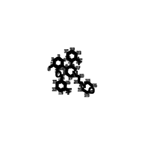 Cc1cccc([C@@H]2[C@@H](C(=O)c3cccc(F)c3)CN(CCN3CCOCC3)C[C@@H]2c2[c]cccc2F)c1C